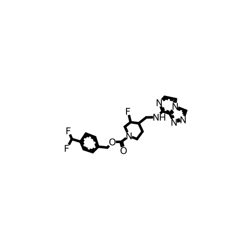 O=C(OCc1ccc(C(F)F)cc1)N1CCC(CNc2nccn3cnnc23)C(F)C1